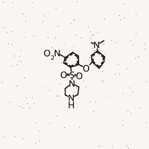 CN(C)c1cccc(Oc2ccc([N+](=O)[O-])cc2S(=O)(=O)N2CCNCC2)c1